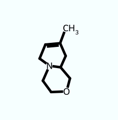 CC1=CCN2CCOCC2C1